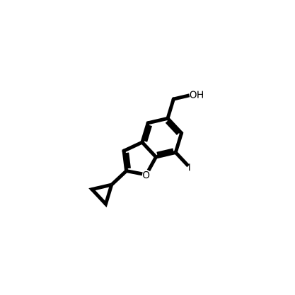 OCc1cc(I)c2oc(C3CC3)cc2c1